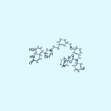 O=C(O[C@H]1CN2CCC1CC2)N(Cc1cccc(OCc2cccc(CCNC[C@H](O)c3ccc(O)c4[nH]c(=O)ccc34)c2)c1)c1cccc(F)c1